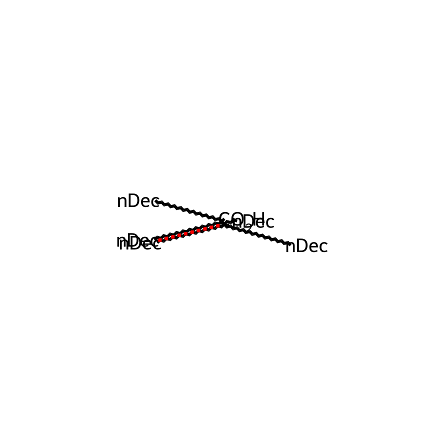 CCCCCCCCCCCCCCCCCCCCCCCCCCCCCCC(CCCCCCCCCCCCC)(CCCCCCCCCCCCCCCCCCCCCCCCCCCCCC)C(CCCCCCCCCCCCCCCCCCCCCCCCCCCCCC)(CCCCCCCCCCCCCCCCCCCCCCCCCCCCCC)C(=O)O